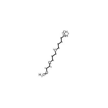 CNCCCCOCCCOCCOC